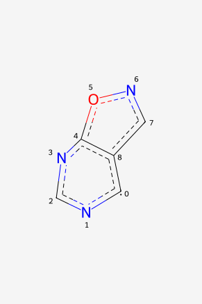 [c]1ncnc2oncc12